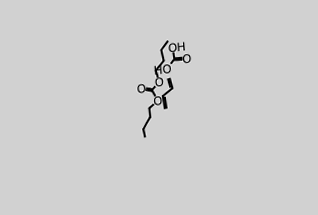 C=CC=C.CCCCOC(=O)OCCCC.O=C(O)O